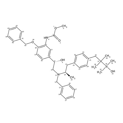 COC(=O)Nc1cc([C@H](O)CN(Cc2ccccc2)[C@H](C)Cc2ccc(CC(C)(C)[Si](C)(C)O)cc2)ccc1OCc1ccccc1